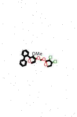 COC1=C(OCOC2OCC[C@H](Cl)[C@H]2Cl)C=COC1c1ccc[c]c1-c1ccccc1